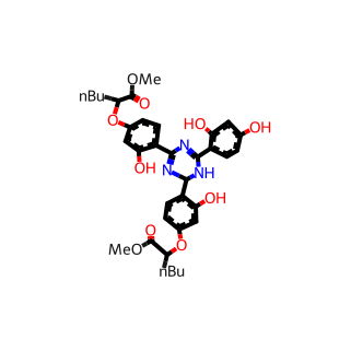 CCCCC(Oc1ccc(C2=NC(c3ccc(OC(CCCC)C(=O)OC)cc3O)NC(c3ccc(O)cc3O)=N2)c(O)c1)C(=O)OC